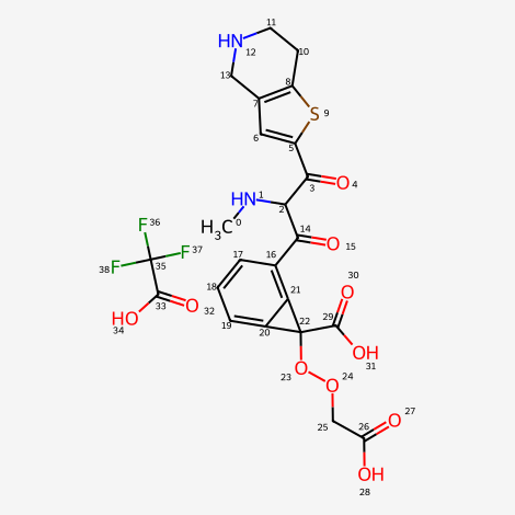 CNC(C(=O)c1cc2c(s1)CCNC2)C(=O)c1cccc2c1C2(OOCC(=O)O)C(=O)O.O=C(O)C(F)(F)F